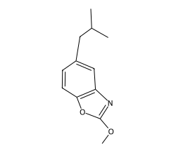 COc1nc2cc(CC(C)C)ccc2o1